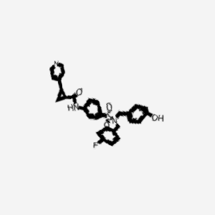 O=C(Nc1ccc(S(=O)(=O)N(Cc2ccc(O)cc2)Cc2ccc(F)cc2)cc1)C1CC1c1ccncc1